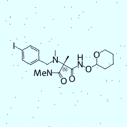 CNC(=O)[C@@](C)(C(=O)NOC1CCCCO1)N(C)Cc1ccc(I)cc1